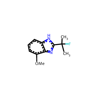 [CH2]Oc1cccc2[nH]c(C(C)(C)F)nc12